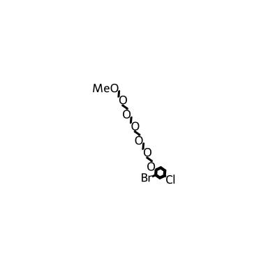 COCCOCCOCCOCCOCCOCCOc1ccc(Cl)cc1Br